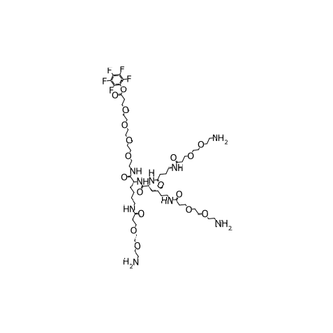 NCCOCCOCCC(=O)NCCCC[C@H](NC(=O)CCCNC(=O)CCOCCOCCN)C(=O)N[C@@H](CCCCNC(=O)CCOCCOCCN)C(=O)NCCOCCOCCOCCOCCC(=O)Oc1c(F)c(F)c(F)c(F)c1F